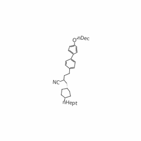 CCCCCCCCCCOc1ccc(-c2ccc(CCC(C#N)C[C@H]3CC[C@H](CCCCCCC)CC3)cc2)cc1